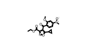 CCOC(=O)c1noc(C2CC2)c1C(=O)c1ccc([S+](C)[O-])cc1OC